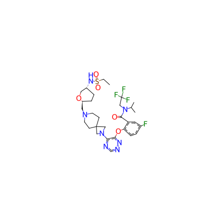 CCS(=O)(=O)N[C@@H]1CC[C@@H](CN2CCC3(CC2)CN(c2ncnnc2Oc2ccc(F)cc2C(=O)N(CC(F)(F)F)C(C)C)C3)OC1